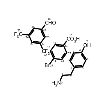 NCCc1ccc(O)cc1.O=C(O)c1ccc(Br)cc1.O=Cc1cc(C(F)(F)F)cc(C(F)(F)F)c1